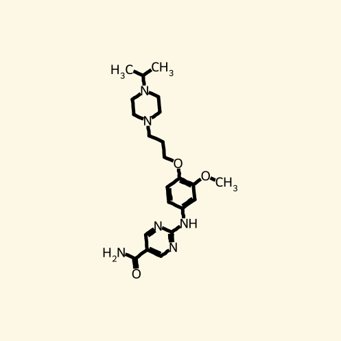 COc1cc(Nc2ncc(C(N)=O)cn2)ccc1OCCCN1CCN(C(C)C)CC1